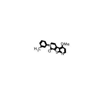 COc1ccnc2sc3c(=O)n(-c4cccc(C)c4)ccc3c12